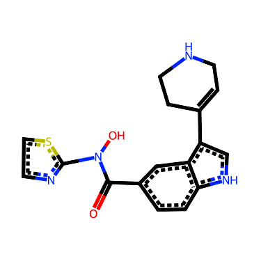 O=C(c1ccc2[nH]cc(C3=CCNCC3)c2c1)N(O)c1nccs1